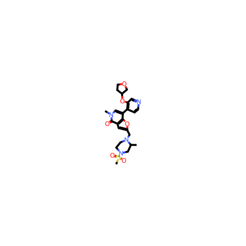 CC1CN(S(C)(=O)=O)CCN1Cc1cc2c(=O)n(C)cc(-c3ccncc3OC3CCOC3)c2o1